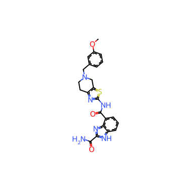 COc1cccc(CN2CCc3nc(NC(=O)c4cccc5[nH]c(C(N)=O)nc45)sc3C2)c1